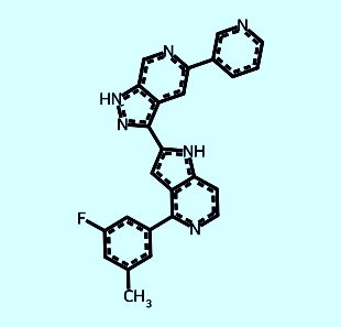 Cc1cc(F)cc(-c2nccc3[nH]c(-c4n[nH]c5cnc(-c6cccnc6)cc45)cc23)c1